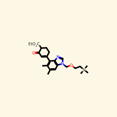 CCOC(=O)C1CCC(c2c(C)c(C)cc3c2ncn3COCC[Si](C)(C)C)=CC1=O